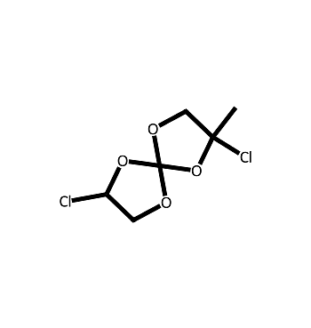 CC1(Cl)COC2(OCC(Cl)O2)O1